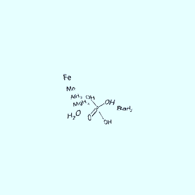 O.O=P(O)(O)O.[AlH3].[BaH2].[Fe].[MgH2].[Mn]